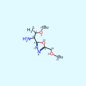 CC(OC(C)(C)C)C(N)c1nnc(COC(C)(C)C)o1